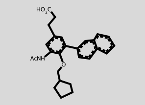 CC(=O)Nc1cc(CCC(=O)O)cc(-c2ccc3ccccc3c2)c1OCC1CCCC1